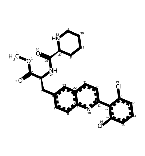 COC(=O)[C@H](Cc1ccc2nc(-c3c(Cl)cccc3Cl)ccc2c1)NC(=O)[C@@H]1CCCCN1